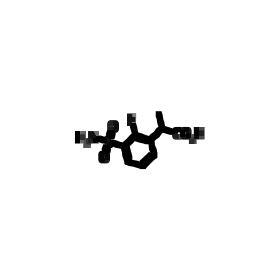 CC(C(=O)O)c1cccc(S(N)(=O)=O)c1F